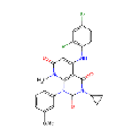 COc1cccc(-n2c(=O)n(C3CC3)c(=O)c3c(Nc4ccc(Br)cc4F)cc(=O)n(C)c32)c1